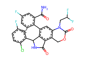 NC(=O)c1cc(F)cc(C(F)(F)F)c1-c1cc2c(c3c1C(c1cc(F)ccc1Cl)NC3=O)COC(=O)N2CC(F)F